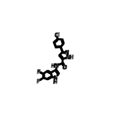 O=C(Nc1c[nH]c2cc(F)c(F)cc12)c1cc(-c2ccc(Cl)cc2)n[nH]1